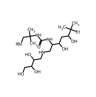 CCC(C)(C)C(O)CC(O)C(CNCC(O)C(O)CO)NC(=O)NC(C)(C)CC(C)(C)C